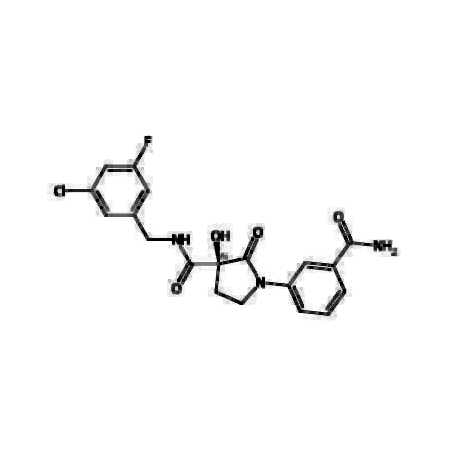 NC(=O)c1cccc(N2CC[C@](O)(C(=O)NCc3cc(F)cc(Cl)c3)C2=O)c1